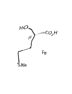 CSCC[C@H](O)C(=O)O.[Fe]